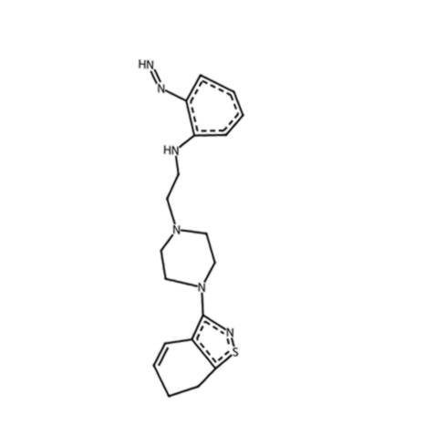 N=Nc1ccccc1NCCN1CCN(c2nsc3c2C=CCC3)CC1